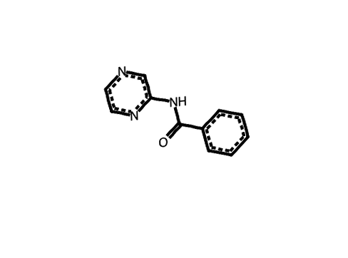 O=C(Nc1cnccn1)c1ccccc1